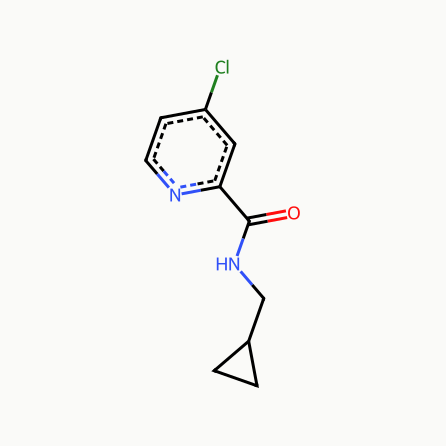 O=C(NCC1CC1)c1cc(Cl)ccn1